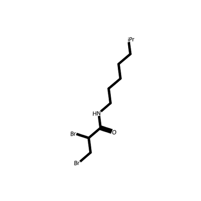 CC(C)CCCCCNC(=O)C(Br)CBr